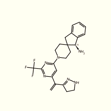 C=C(C1=NNCC1)c1cc(N2CCC3(CC2)Cc2ccccc2[C@H]3N)nc(C(F)(F)F)n1